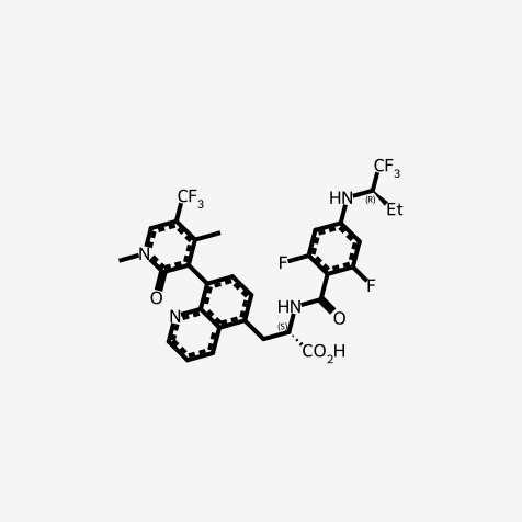 CC[C@@H](Nc1cc(F)c(C(=O)N[C@@H](Cc2ccc(-c3c(C)c(C(F)(F)F)cn(C)c3=O)c3ncccc23)C(=O)O)c(F)c1)C(F)(F)F